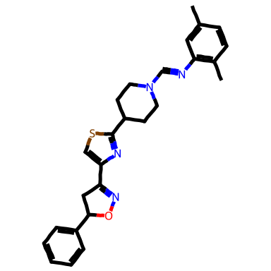 Cc1ccc(C)c(N=CN2CCC(c3nc(C4=NOC(c5ccccc5)C4)cs3)CC2)c1